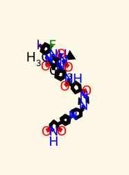 Cc1c(=O)n(C)c(Nc2ccc(I)cc2F)c2c(=O)n(C3CC3)c(=O)n(-c3cccc(NC(=O)C4CCC(C(=O)N5CCN(CC6CCN(c7ccc(C8CCC(=O)NC8=O)cc7)CC6)CC5)CC4)c3)c12